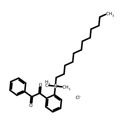 CCCCCCCCCCCC[N+](C)(C)c1ccccc1C(=O)C(=O)c1ccccc1.[Cl-]